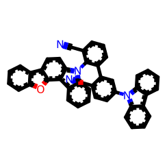 N#Cc1ccc(-n2c3ccccc3c3ccccc32)cc1-c1cccc(C#N)c1-n1c2ccccc2c2c3oc4ccccc4c3ccc21